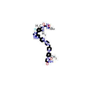 Cc1cc(-c2ncnc3[nH]c(-c4ccc(N5CCN(CC6CCN(c7ccc(N8CCC(=O)NC8=O)c(C)c7)CC6)CC5)nc4)cc23)c(F)cc1C(C)NC(=O)c1noc(C(C)(C)C)n1